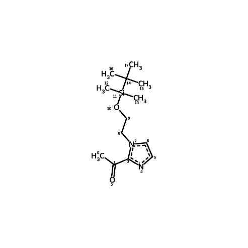 CC(=O)c1nccn1CCO[Si](C)(C)C(C)(C)C